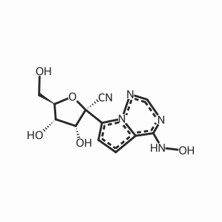 N#C[C@@]1(c2ccc3c(NO)ncnn23)O[C@H](CO)[C@@H](O)[C@H]1O